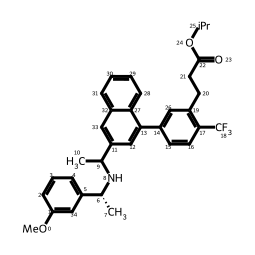 COc1cccc([C@@H](C)NC(C)c2cc(-c3ccc(C(F)(F)F)c(CCC(=O)OC(C)C)c3)c3ccccc3c2)c1